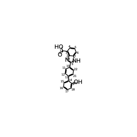 O=C(O)c1cccc2[nH]c(-c3ccc(-c4ccccc4O)cc3)nc12